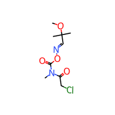 COC(C)(C)C=NOC(=O)N(C)C(=O)CCl